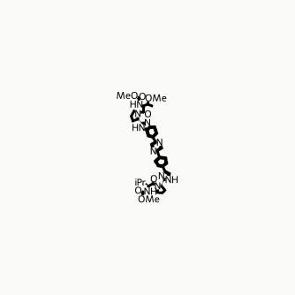 COC(=O)N[C@H](C(=O)N1CCC[C@H]1c1nc(-c2ccc(-c3cnc(-c4ccc5nc([C@@H]6CCCN6C(=O)[C@@H](NC(=O)OC)C(C)OC)[nH]c5c4)cn3)cc2)c[nH]1)C(C)C